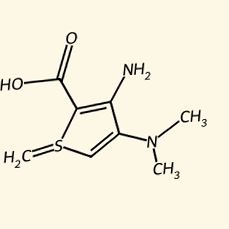 C=S1C=C(N(C)C)C(N)=C1C(=O)O